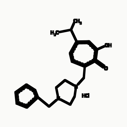 CC(C)c1ccc(CN2CCN(Cc3ccccc3)CC2)c(=O)c(O)c1.Cl